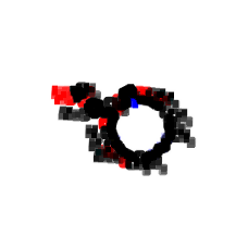 CCC1CC(C)CCC(C)C(C)(O)C(=O)C(=O)N2CCCCC2C(=O)OC(C(C)CC2CCC(OC(=O)C(C)(CO)CO)C(OC)C2)CC(=O)C(C)/C=C(\C)C(O)C(OC)C(=O)C(C)CC(C)/C=C/C=C/C=C/1C